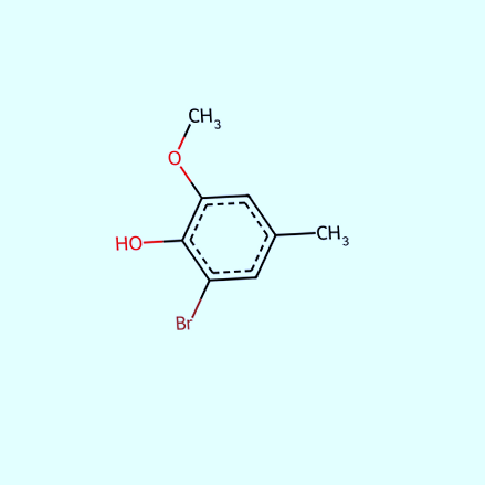 COc1cc(C)cc(Br)c1O